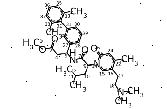 COC(=O)C[C@H](NC(=O)[C@H](CC(C)C)n1cc(CCN(C)C)c(C)cc1=O)c1cccc(-c2c(C)cccc2C)c1